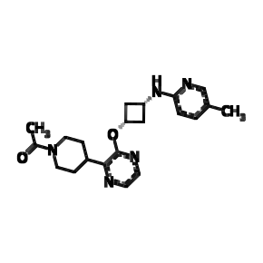 CC(=O)N1CCC(c2nccnc2O[C@H]2C[C@@H](Nc3ccc(C)cn3)C2)CC1